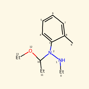 CCNN(c1ccccc1C)C(CC)OCC